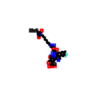 CC[C@@]1(O)C(=O)OCC2=C1C=C1c3ncc4c(c3NC1C2=O)[C@@H](NC(=O)COCNCC=CCCCCCN1C(=O)CC(SC)C1=O)CC1C=C(C)C(F)=CC41